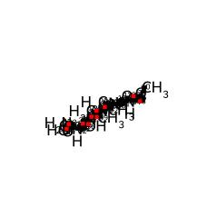 CCCOc1cccc2cc(NC(=O)c3ccc(N=Nc4cc(C)c(N=Nc5cc(C)c(N=Nc6ccc7cc(Nc8ccc(N)c(S(=O)(=O)O)c8)ccc7c6O)cc5C)cc4C)cc3)ccc12